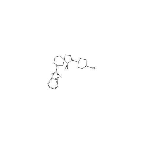 O=C1N(C2CCC(O)CC2)CCC12CCCN(c1nc3ccccc3s1)C2